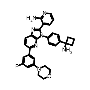 Nc1ncccc1-c1nc2ccc(-c3cc(F)cc(N4CCOCC4)c3)nc2n1-c1ccc(C2(N)CCC2)cc1